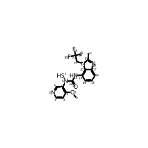 COc1ccncc1N(S)C(=O)Nc1cccc2nc(C)n(CC(F)(F)F)c12